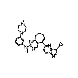 CN1CCN(c2cccc(Nc3ncc4c(n3)CCCC=C4c3ccn4ncc(C5CC5)c4n3)c2)CC1